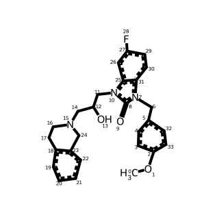 COc1ccc(Cn2c(=O)n(CC(O)CN3CCc4ccccc4C3)c3cc(F)ccc32)cc1